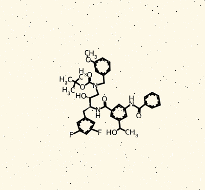 COc1cccc(CN(C[C@@H](O)[C@H](Cc2cc(F)cc(F)c2)NC(=O)c2cc(NC(=O)c3ccccc3)cc(C(C)O)c2)C(=O)OC(C)(C)C)c1